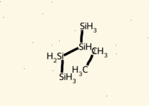 CC.[SiH3][SiH2][SiH2][SiH3]